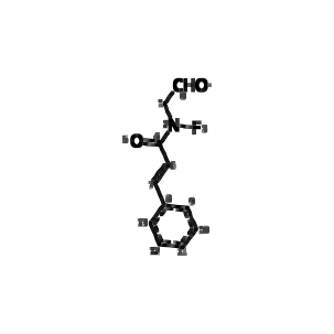 O=[C]CN(F)C(=O)C=Cc1ccccc1